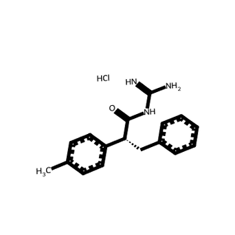 Cc1ccc([C@@H](Cc2ccccc2)C(=O)NC(=N)N)cc1.Cl